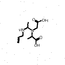 C=CCNC(C)N(CC(=O)O)C(C)C(=O)O